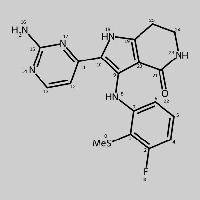 CSc1c(F)cccc1Nc1c(-c2ccnc(N)n2)[nH]c2c1C(=O)NCC2